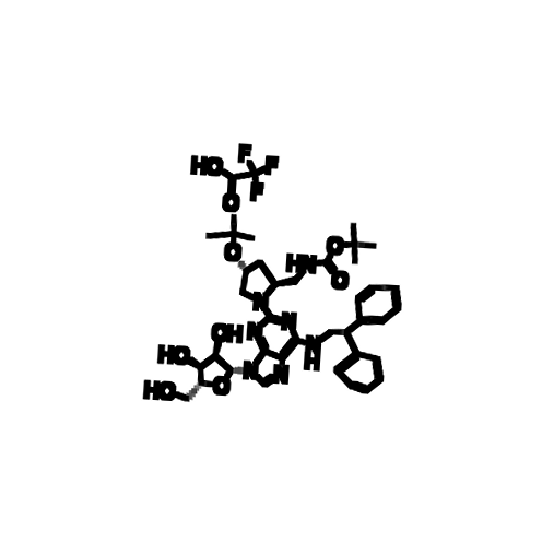 CC(C)(C)OC(=O)NC[C@@H]1C[C@@H](OC(C)(C)C)CN1c1nc(NCC(c2ccccc2)c2ccccc2)c2ncn([C@@H]3O[C@H](CO)[C@@H](O)[C@H]3O)c2n1.O=C(O)C(F)(F)F